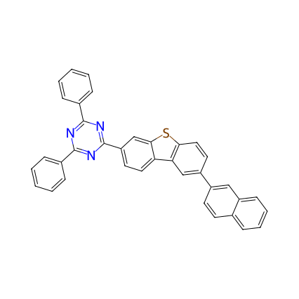 c1ccc(-c2nc(-c3ccccc3)nc(-c3ccc4c(c3)sc3ccc(-c5ccc6ccccc6c5)cc34)n2)cc1